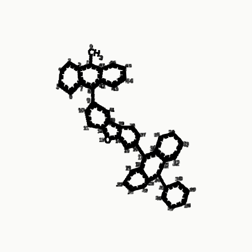 Cc1c2ccccc2c(-c2ccc3oc4cc(-c5c6ccccc6c(-c6ccccc6)c6ccccc56)ccc4c3c2)c2ccccc12